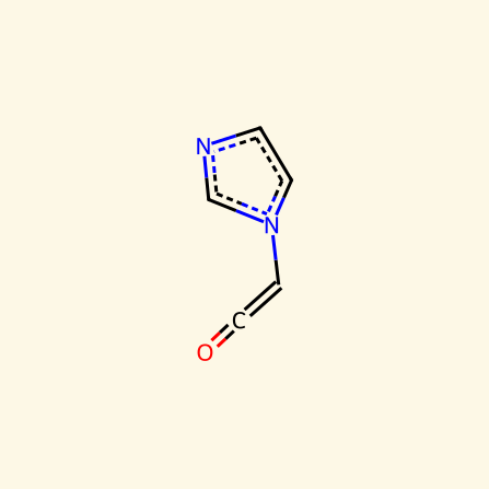 O=C=Cn1ccnc1